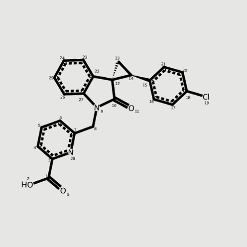 O=C(O)c1cccc(CN2C(=O)[C@@]3(C[C@H]3c3ccc(Cl)cc3)c3ccccc32)n1